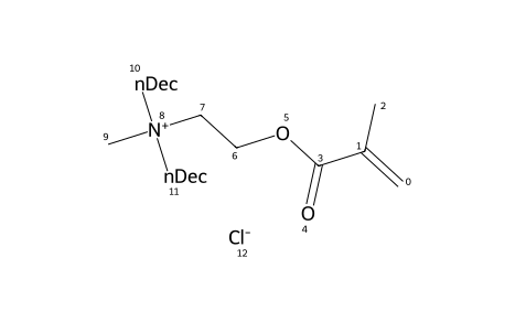 C=C(C)C(=O)OCC[N+](C)(CCCCCCCCCC)CCCCCCCCCC.[Cl-]